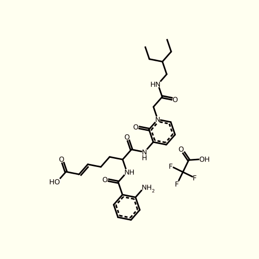 CCC(CC)CNC(=O)Cn1cccc(NC(=O)C(CC/C=C/C(=O)O)NC(=O)c2ccccc2N)c1=O.O=C(O)C(F)(F)F